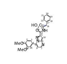 COc1ccc(-c2ccnc3cc(C(=O)N/C(=C/c4ccccc4)C(=O)O)nn23)cc1OC